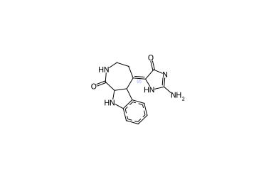 NC1=NC(=O)/C(=C2\CCNC(=O)C3Nc4ccccc4C23)N1